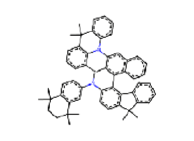 CC1(C)CCC(C)(C)c2cc(N3B4c5cccc6c5N(c5ccccc5C6(C)C)c5cc6ccccc6c(c54)-c4c3ccc3c4-c4ccccc4C3(C)C)ccc21